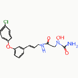 NC(=O)N(O)CC(=O)NCC=Cc1cccc(Oc2ccc(Cl)cc2)c1